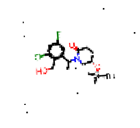 CC(c1cc(F)cc(Cl)c1CO)N1C[C@@H](O[Si](C)(C)C(C)(C)C)CCC1=O